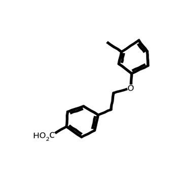 Cc1cccc(OCCc2ccc(C(=O)O)cc2)c1